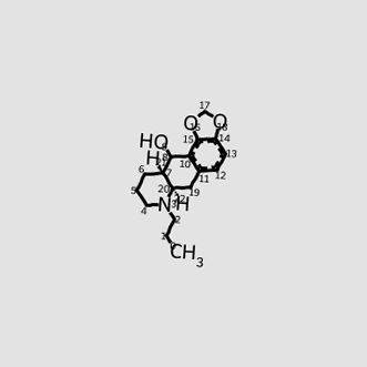 CCCN1CCC[C@@H]2C(O)c3c(ccc4c3OCO4)C[C@H]21